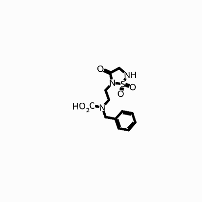 O=C(O)N(CCN1C(=O)CNS1(=O)=O)Cc1ccccc1